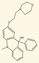 CN1c2ccccc2C(O)(c2ccccc2)c2cc(OCCN3CCOCC3)ccc21